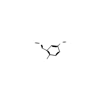 COc1ccc(F)c(C=NO)c1